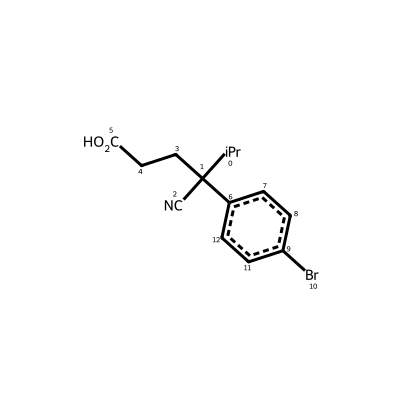 CC(C)C(C#N)(CCC(=O)O)c1ccc(Br)cc1